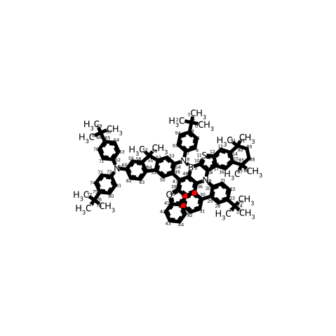 CC(C)(C)c1ccc(N2B3c4sc5cc6c(cc5c4N(c4ccc(C(C)(C)C)cc4-c4ccccc4)c4cc5c(oc7ccccc75)c(c43)-c3cc4c(cc32)C(C)(C)c2cc(N(c3ccc(C(C)(C)C)cc3)c3ccc(C(C)(C)C)cc3)ccc2-4)C(C)(C)CCC6(C)C)cc1